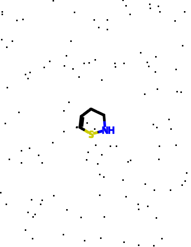 [C]1=CCCNS1